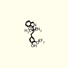 CC(C)(CCc1ccc(O)c(OC(F)(F)F)c1)C1=NC=C2C=CC=CC21C(=O)O